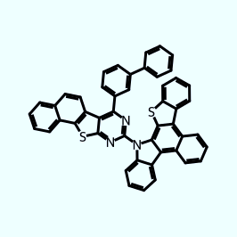 c1ccc(-c2cccc(-c3nc(-n4c5ccccc5c5c6ccccc6c6c7ccccc7sc6c54)nc4sc5c6ccccc6ccc5c34)c2)cc1